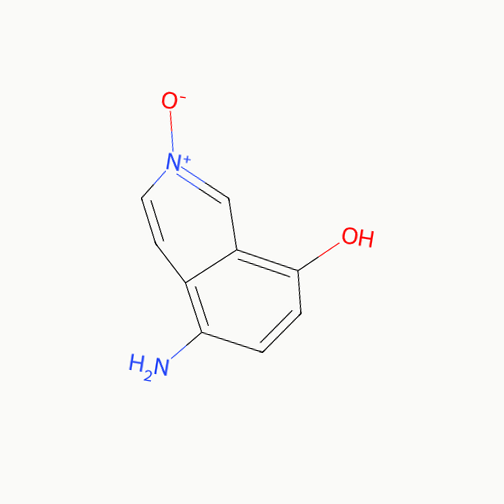 Nc1ccc(O)c2c[n+]([O-])ccc12